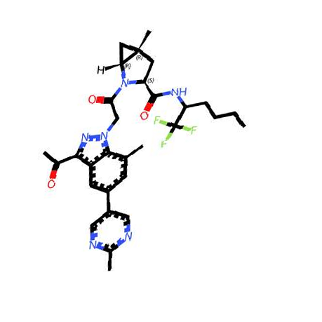 CCCCC(NC(=O)[C@@H]1C[C@@]2(C)C[C@H]2N1C(=O)Cn1nc(C(C)=O)c2cc(-c3cnc(C)nc3)cc(C)c21)C(F)(F)F